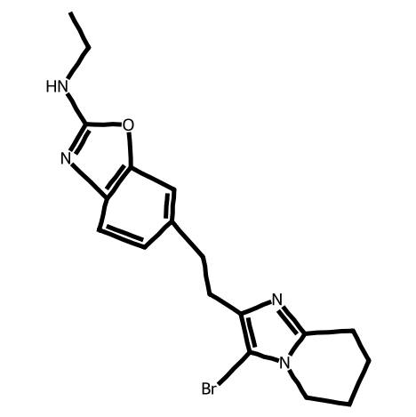 CCNc1nc2ccc(CCc3nc4n(c3Br)CCCC4)cc2o1